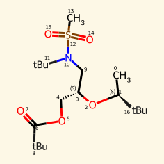 C[C@H](O[C@H](COC(=O)C(C)(C)C)CN(C(C)(C)C)S(C)(=O)=O)C(C)(C)C